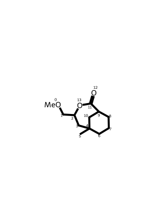 COCC1CC2(C)CCCC(C2)C(=O)O1